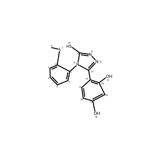 CSc1ccccc1-n1c(S)nnc1-c1ccc(O)cc1O